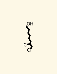 OCCCCCCC(Cl)CCl